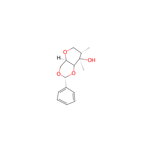 C[C@H]1CO[C@@H]2CO[C@@H](c3ccccc3)OC2[C@]1(C)O